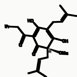 CO[C@]1(CC=C(C)C)C(=O)C(C(=O)CC(C)C)=C(O)C(CC=C(C)C)=C1O